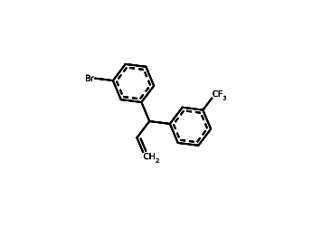 C=CC(c1cccc(Br)c1)c1cccc(C(F)(F)F)c1